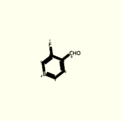 O=Cc1ccbcc1F